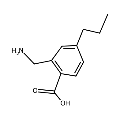 CCCc1ccc(C(=O)O)c(CN)c1